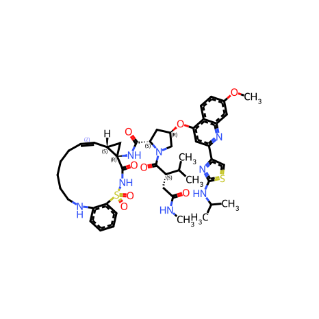 CNC(=O)C[C@H](C(=O)N1C[C@H](Oc2cc(-c3csc(NC(C)C)n3)nc3cc(OC)ccc23)C[C@H]1C(=O)N[C@]12C[C@H]1/C=C\CCCCCNc1ccccc1S(=O)(=O)NC2=O)C(C)C